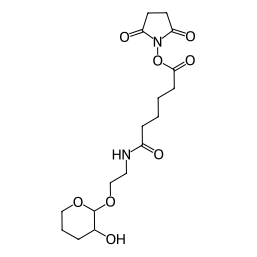 O=C(CCCCC(=O)ON1C(=O)CCC1=O)NCCOC1OCCCC1O